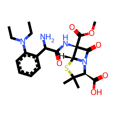 CCN(CC)c1ccccc1C(N)C(=O)N[C@@]1(C(=O)OC)C(=O)N2[C@@H](C(=O)O)C(C)(C)S[C@@H]21